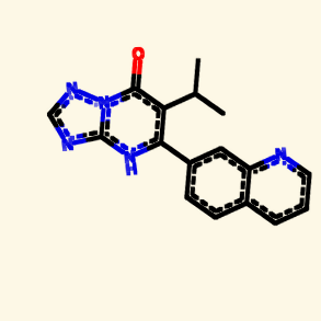 CC(C)c1c(-c2ccc3cccnc3c2)[nH]c2ncnn2c1=O